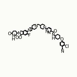 N#Cc1ccc(O[C@H]2CC[C@H](NC(=O)c3ccc(N4CCC(CN5CCC6(CC5)CN(c5cc7c(cc5F)C(=O)N(C5CCC(=O)NC5=O)C7)C6)CC4)nn3)CC2)cc1Cl